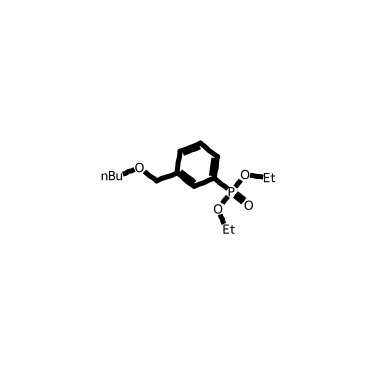 CCCCOCc1cccc(P(=O)(OCC)OCC)c1